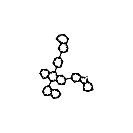 c1ccc2cc(-c3ccc(-c4c5ccccc5c(-c5cccc6ccccc56)c5ccc(-c6ccc7oc8ccccc8c7c6)cc45)cc3)ccc2c1